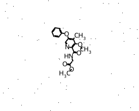 COC(=O)CNC(=O)c1ncc(Oc2ccccc2)c(C)c1OC